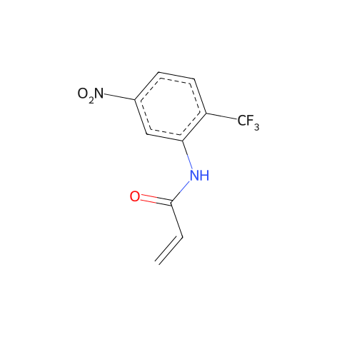 C=CC(=O)Nc1cc([N+](=O)[O-])ccc1C(F)(F)F